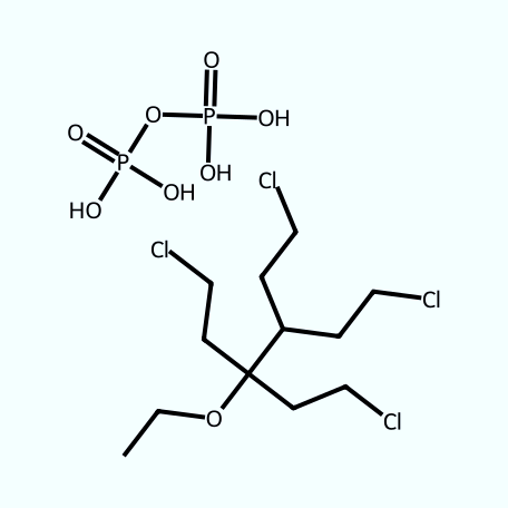 CCOC(CCCl)(CCCl)C(CCCl)CCCl.O=P(O)(O)OP(=O)(O)O